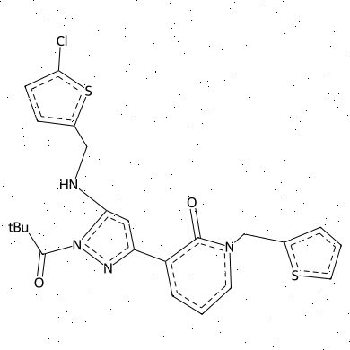 CC(C)(C)C(=O)n1nc(-c2cccn(Cc3cccs3)c2=O)cc1NCc1ccc(Cl)s1